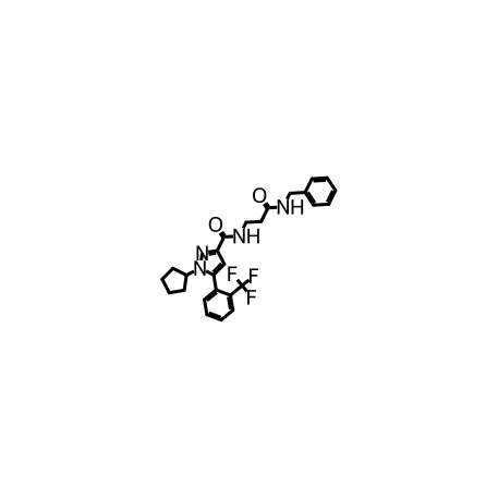 O=C(CCNC(=O)c1cc(-c2ccccc2C(F)(F)F)n(C2CCCC2)n1)NCc1ccccc1